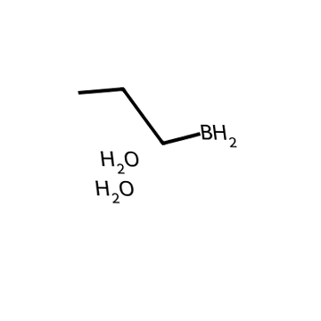 BCCC.O.O